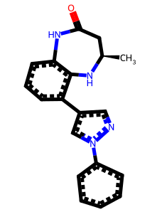 C[C@@H]1CC(=O)Nc2cccc(-c3cnn(-c4ccccc4)c3)c2N1